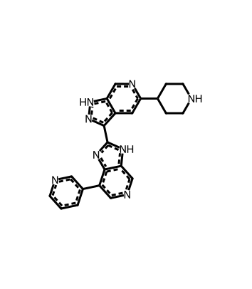 c1cncc(-c2cncc3[nH]c(-c4n[nH]c5cnc(C6CCNCC6)cc45)nc23)c1